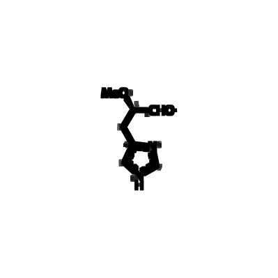 CO[C@@H]([C]=O)Cc1c[nH]cn1